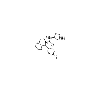 O=C(N[C@H]1CCNC1)N1CCc2ccccc2[C@@H]1c1ccc(F)cc1